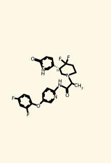 CC(C(=O)Nc1ccc(Oc2ccc(F)cc2F)cn1)N1CCC(F)(F)[C@@H](c2ccc(=O)[nH]c2)C1